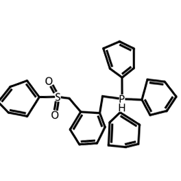 O=S(=O)(Cc1ccccc1C[PH](c1ccccc1)(c1ccccc1)c1ccccc1)c1ccccc1